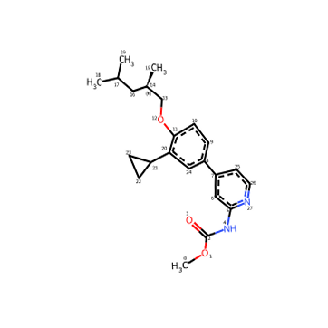 COC(=O)Nc1cc(-c2ccc(OC[C@H](C)CC(C)C)c(C3CC3)c2)ccn1